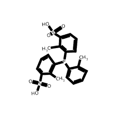 Cc1ccccc1P(c1cccc(S(=O)(=O)O)c1C)c1cccc(S(=O)(=O)O)c1C